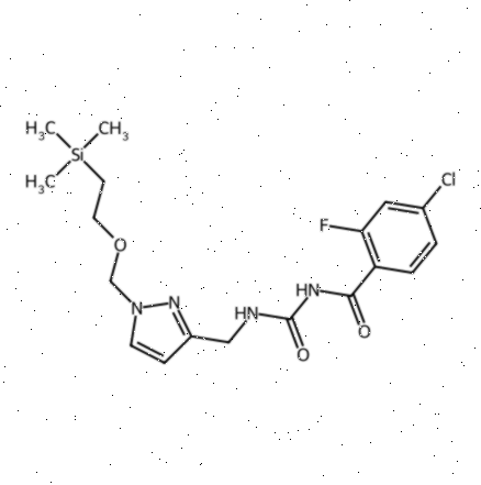 C[Si](C)(C)CCOCn1ccc(CNC(=O)NC(=O)c2ccc(Cl)cc2F)n1